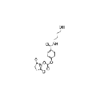 O=C(Oc1ccc(C(=O)NCCCCO)cc1)ON1C(=O)CCC1=O